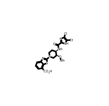 CCCO[C@H]1CN(c2nc3cccc(C(=O)O)c3s2)CC[C@H]1NC(=O)c1nc(Cl)c(CC)[nH]1